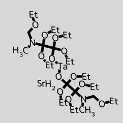 CCOCN(C)C(OCC)(OCC)C(OCC)(OCC)[O][Ta][O]C(OCC)(OCC)C(OCC)(OCC)N(C)COCC.[SrH2]